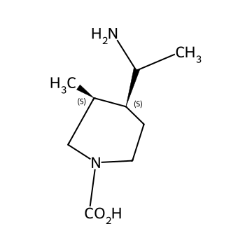 CC(N)[C@H]1CCN(C(=O)O)C[C@H]1C